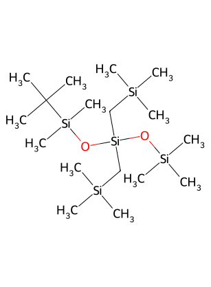 CC(C)(C)[Si](C)(C)O[Si](C[Si](C)(C)C)(C[Si](C)(C)C)O[Si](C)(C)C